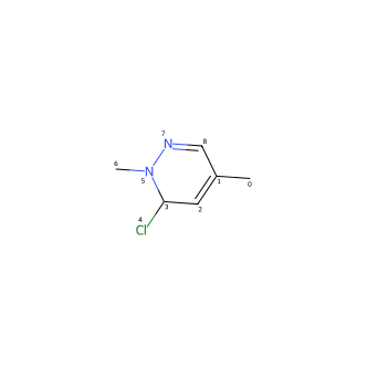 CC1=CC(Cl)N(C)N=C1